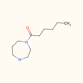 CCCCCC(=O)N1CCC[N]CC1